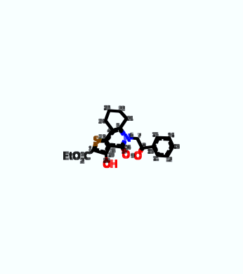 CCOC(=O)c1sc2c3c(n(CC(=O)c4ccccc4)c(=O)c2c1O)CCCC3